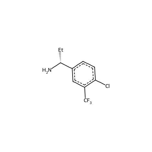 CC[C@@H](N)c1ccc(Cl)c(C(F)(F)F)c1